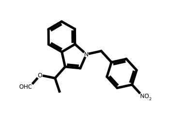 CC(OC=O)c1cn(Cc2ccc([N+](=O)[O-])cc2)c2ccccc12